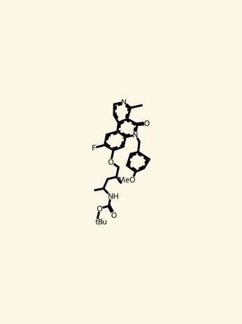 COc1ccc(Cn2c(=O)c3c(C)nccc3c3cc(F)c(OCC(C)CC(C)NC(=O)OC(C)(C)C)cc32)cc1